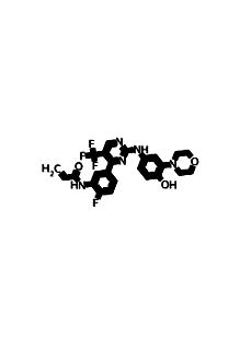 C=CC(=O)Nc1cc(-c2nc(Nc3ccc(O)c(N4CCOCC4)c3)ncc2C(F)(F)F)ccc1F